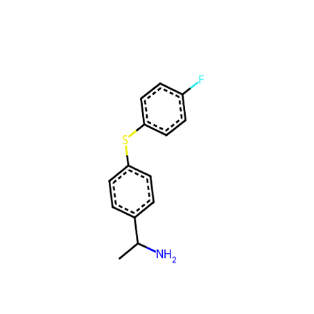 CC(N)c1ccc(Sc2ccc(F)cc2)cc1